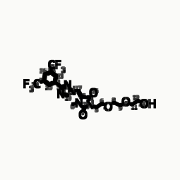 CN1C(=O)N(CCOCCOCCO)C(=O)/C1=C/n1cnc(-c2cc(C(F)(F)F)cc(C(F)(F)F)c2)n1